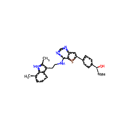 CNC(O)c1ccc(-c2cc3ncnc(NCCc4c(C)[nH]c5c(C)cccc45)c3s2)cc1